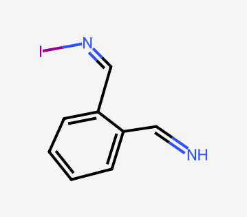 N=Cc1ccccc1/C=N\I